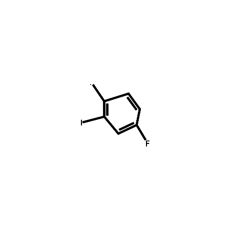 [CH2]c1ccc(F)cc1I